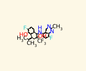 CC(C)=C1C[C@](O)(C(F)(F)F)[C@H](Nc2ccc(F)c3nc(C)ncc23)c2ccc(F)c(O)c21